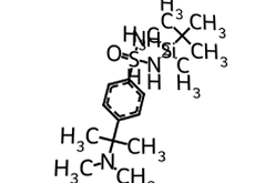 CN(C)C(C)(C)c1ccc([SH](N)(=O)N[Si](C)(C)C(C)(C)C)cc1